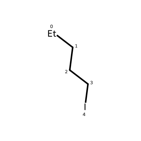 [CH2]CCCCI